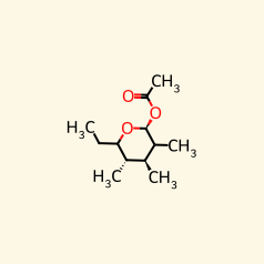 CCC1O[C@@H](OC(C)=O)C(C)[C@@H](C)[C@@H]1C